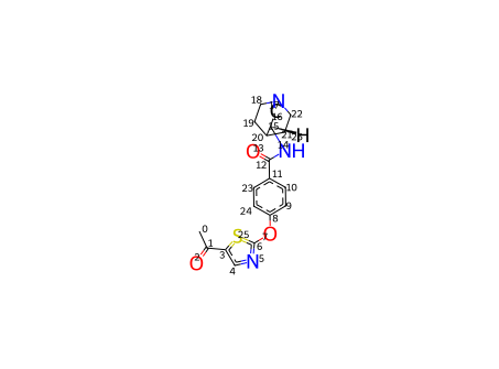 CC(=O)c1cnc(Oc2ccc(C(=O)N[C@H]3CN4CCC3CC4)cc2)s1